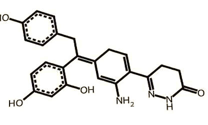 NC1=CC(=C(Cc2ccc(O)cc2)c2ccc(O)cc2O)CC=C1C1=NNC(=O)CC1